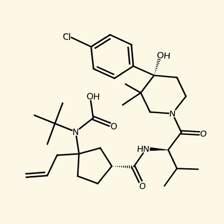 C=CCC1(N(C(=O)O)C(C)(C)C)CC[C@@H](C(=O)N[C@@H](C(=O)N2CC[C@](O)(c3ccc(Cl)cc3)C(C)(C)C2)C(C)C)C1